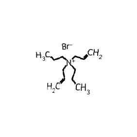 C=CC[N+](CC=C)(CCC)CCC.[Br-]